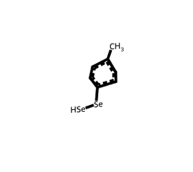 Cc1ccc([Se][SeH])cc1